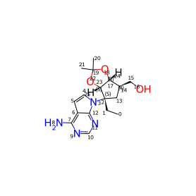 CC[C@]1(n2ccc3c(N)ncnc32)C[C@H](CO)[C@H]2OC(C)(C)O[C@H]21